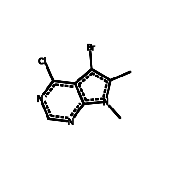 Cc1c(Br)c2c(Cl)ncnc2n1C